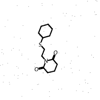 O=C1CCCC(=O)N1CCSC1CCCCC1